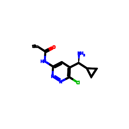 CC(C)(C)C(=O)Nc1cc([C@H](N)C2CC2)c(Cl)nn1